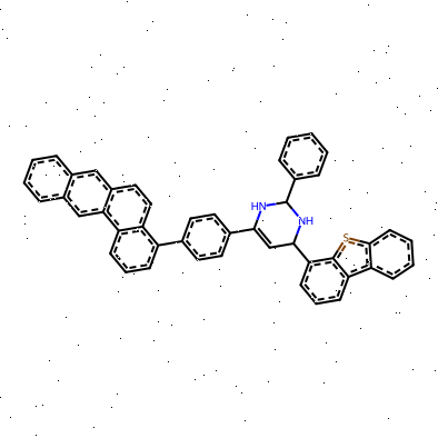 C1=C(c2ccc(-c3cccc4c3ccc3cc5ccccc5cc34)cc2)NC(c2ccccc2)NC1c1cccc2c1sc1ccccc12